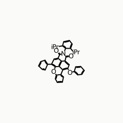 CC(C)c1cccc(C(C)C)c1-n1c(=O)c2cc(-c3ccccc3)c3oc4ccccc4c4c(Oc5ccccc5)cc(c1=O)c2c34